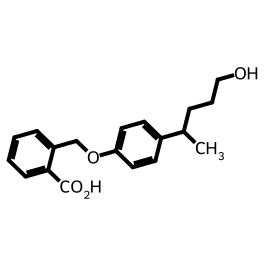 CC(CCCO)c1ccc(OCc2ccccc2C(=O)O)cc1